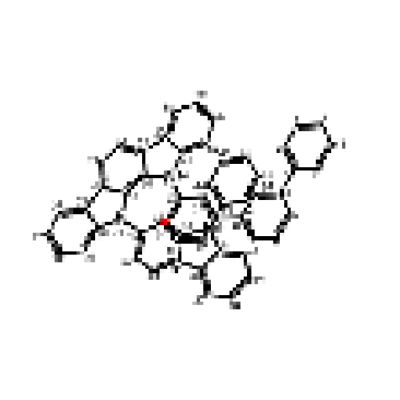 c1ccc(-c2cccc(-c3cccc(-n4c5ccccc5c5ccc6c7ccccc7n(-c7ccc8c9ccccc9n(-c9ccccc9)c8c7)c6c54)c3)c2)cc1